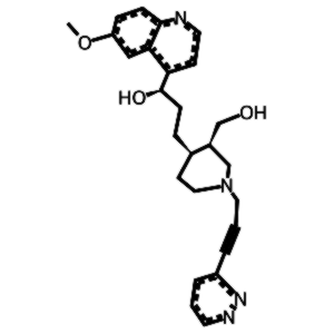 COc1ccc2nccc([C@H](O)CC[C@@H]3CCN(CC#Cc4cccnn4)C[C@@H]3CO)c2c1